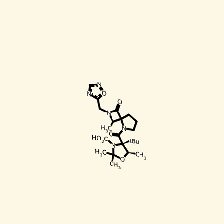 CC1N(Cc2ncno2)C(=O)C12CCCN2C(=O)[C@]1(C(C)(C)C)[C@@H](C)OC(C)(C)N1C(=O)O